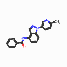 Cc1ccc(-n2ncc3c(NC(=O)c4ccccc4)cccc32)cn1